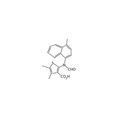 Cc1sc(N(C=O)c2ccc(C)c3ccccc23)c(C(=O)O)c1C